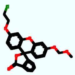 COCOc1ccc2c(c1)Oc1cc(OCCCl)ccc1C21OC(=O)c2ccccc21